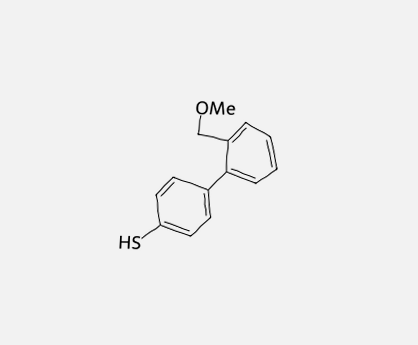 COCc1ccccc1-c1ccc(S)cc1